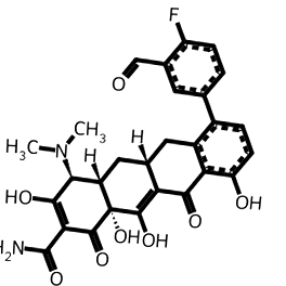 CN(C)[C@@H]1C(O)=C(C(N)=O)C(=O)[C@]2(O)C(O)=C3C(=O)c4c(O)ccc(-c5ccc(F)c(C=O)c5)c4C[C@H]3C[C@@H]12